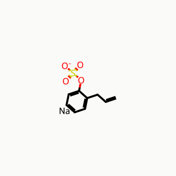 C=CCc1ccccc1OS(=O)(=O)[O-].[Na+]